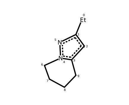 CCc1[c]c2n(n1)CCCC2